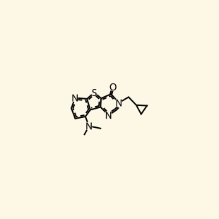 CN(C)c1ccnc2sc3c(=O)n(CC4CC4)cnc3c12